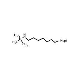 CCCCCCCCCCCCCCN[N+](C)(C)C